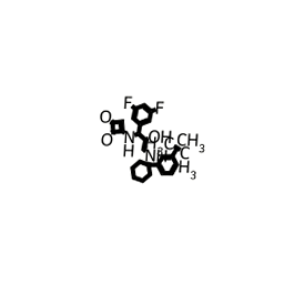 CC(C)(C)c1cccc(C2(NCC(O)C(Nc3cc(=O)c3=O)c3cc(F)cc(F)c3)CCCCC2)c1